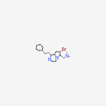 CN(C)Cc1c(Br)cc2c(CCc3ccccc3)nccn12